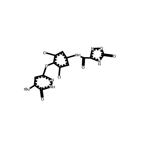 CC(C)(C)c1cc(Oc2c(Cl)cc(NC(=O)c3noc(=O)[nH]3)cc2Cl)n[nH]c1=O